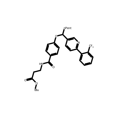 CCCCCC(Oc1ccc(C(=O)NCCC(=O)OC(C)(C)C)cc1)c1ccc(-c2ccccc2C(F)(F)F)nc1